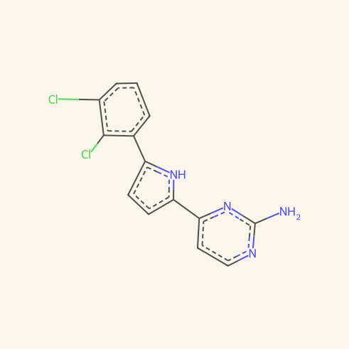 Nc1nccc(-c2ccc(-c3cccc(Cl)c3Cl)[nH]2)n1